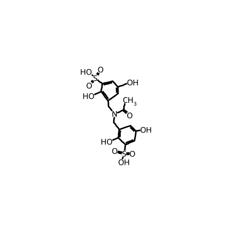 CC(=O)N(Cc1cc(O)cc(S(=O)(=O)O)c1O)Cc1cc(O)cc(S(=O)(=O)O)c1O